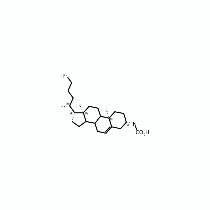 CC(C)CCC[C@@H](C)[C@H]1CCC2C3CC=C4C[C@@H]([N]C(=O)O)CC[C@]4(C)C3CC[C@@]21C